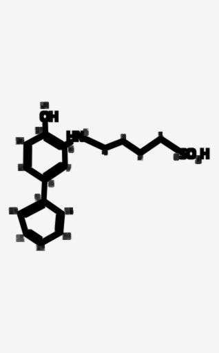 O=S(=O)(O)CCCCNc1cc(-c2ccccc2)ccc1O